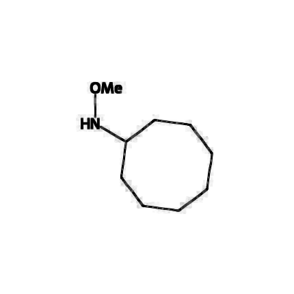 CONC1CCCCCCC1